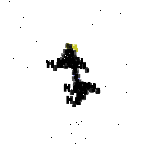 CCCC1=C(C(C)(C)C(C)C=C/C=C/C=C/CC(C)(C)C2=C(C)C3C4=C2C3C(C)=C4)c2ccc(S)cc2C1